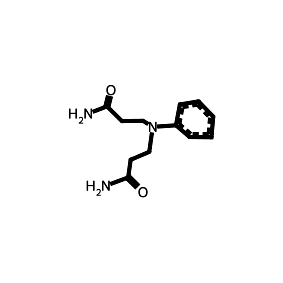 NC(=O)CCN(CCC(N)=O)c1ccccc1